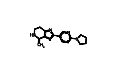 C=C1NCCc2nc(-c3ccc(N4CCCC4)nc3)sc21